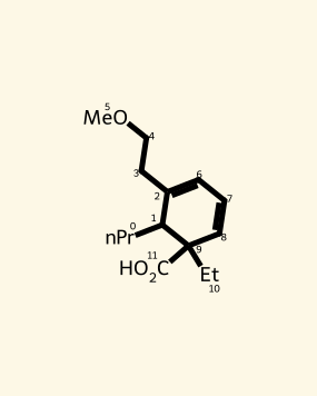 CCCC1C(CCOC)=CC=CC1(CC)C(=O)O